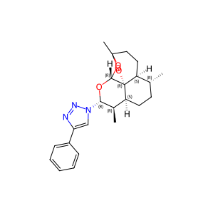 C[C@H]1[C@H](n2cc(-c3ccccc3)nn2)O[C@@H]2OC3(C)CC[C@H]4[C@H](C)CC[C@@H]1[C@@]24OO3